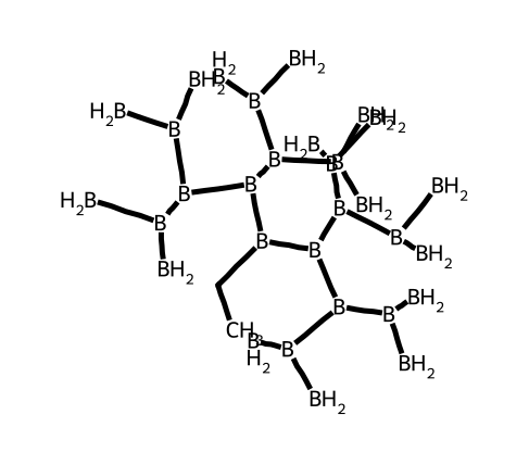 BB(B)B(B(B)B)B(B(CC)B(B(B(B)B)B(B)B)B(B(B)B)B(B)B)B(B(B)B)B(B)B